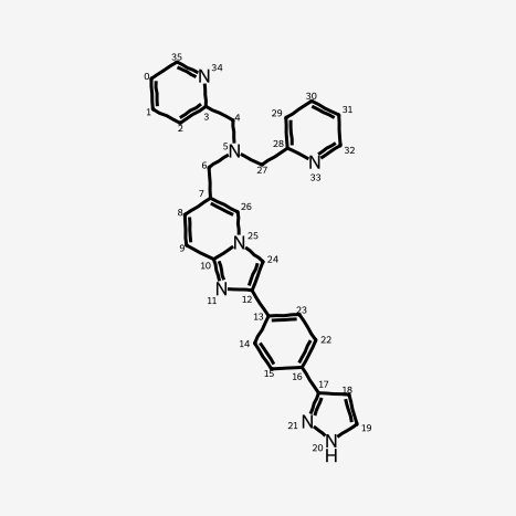 c1ccc(CN(Cc2ccc3nc(-c4ccc(-c5cc[nH]n5)cc4)cn3c2)Cc2ccccn2)nc1